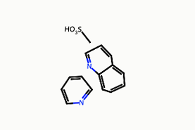 CS(=O)(=O)O.c1ccc2ncccc2c1.c1ccncc1